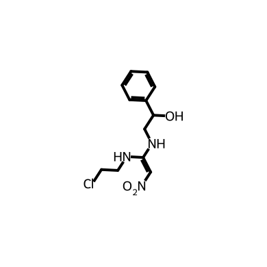 O=[N+]([O-])C=C(NCCCl)NCC(O)c1ccccc1